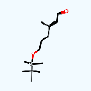 C/C(=C\C=O)CCCO[Si](C)(C)C(C)(C)C